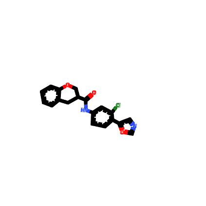 O=C(Nc1ccc(-c2cnco2)c(Cl)c1)C1COc2ccccc2C1